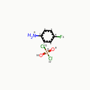 Nc1ccc(F)cc1.O=S(=O)(Cl)Cl